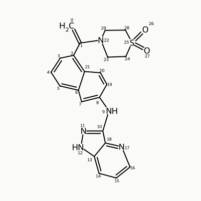 C=C(c1cccc2cc(Nc3n[nH]c4cccnc34)ccc12)N1CCS(=O)(=O)CC1